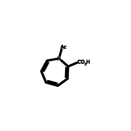 CC(=O)N1C=CC=CC=C1C(=O)O